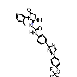 Cc1ccccc1N1C(=O)CN/C1=N\C(=O)Nc1ccc(-c2ncn(-c3ccc(OC(F)(F)F)cc3)n2)cc1